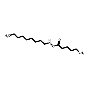 CCCCCCCCCNOC(=O)CCCCC